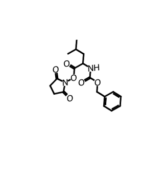 CC(C)CC(NC(=O)OCc1ccccc1)C(=O)ON1C(=O)CCC1=O